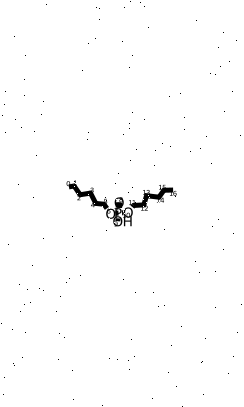 CCCCCCOP(=O)(O)OCCCCCC